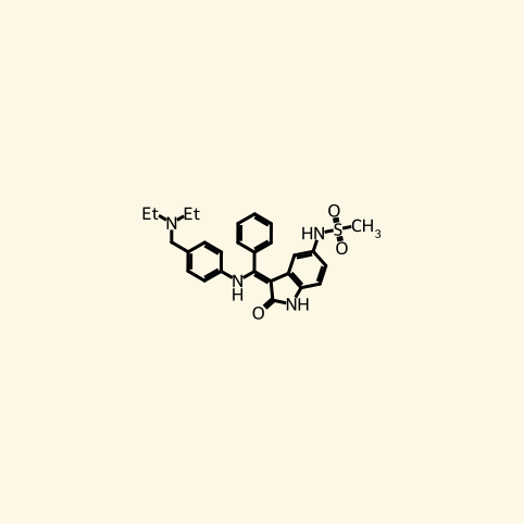 CCN(CC)Cc1ccc(N/C(=C2\C(=O)Nc3ccc(NS(C)(=O)=O)cc32)c2ccccc2)cc1